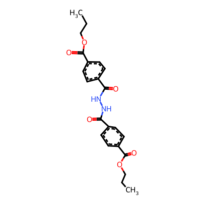 CCCOC(=O)c1ccc(C(=O)NNC(=O)c2ccc(C(=O)OCCC)cc2)cc1